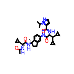 CC(=O)N[C@@H](C(=O)N[C@]1(C)CCc2cc(NC(=O)[C@@H](NC(=O)c3ccnn3C(C)C)C(C3CC3)C3CC3)ccc21)C1CC1